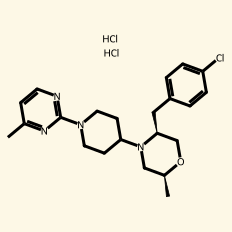 Cc1ccnc(N2CCC(N3C[C@H](C)OC[C@@H]3Cc3ccc(Cl)cc3)CC2)n1.Cl.Cl